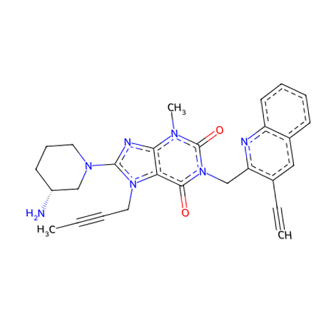 C#Cc1cc2ccccc2nc1Cn1c(=O)c2c(nc(N3CCC[C@@H](N)C3)n2CC#CC)n(C)c1=O